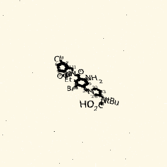 CCS(=O)(=O)c1ccc(Cl)cc1CNC(=O)c1cc(Br)c(CN2CC[C@@H](N(C(=O)O)C(C)(C)C)C2)cc1N